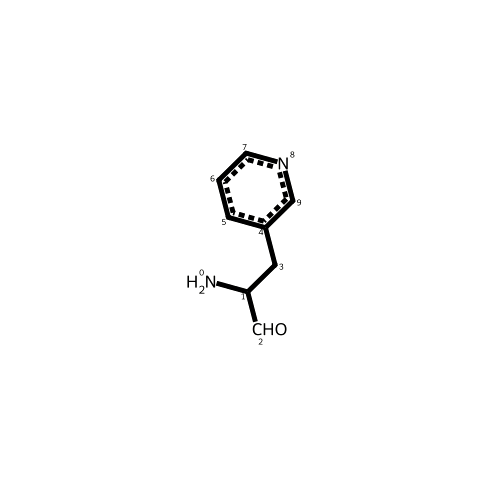 NC(C=O)Cc1cccnc1